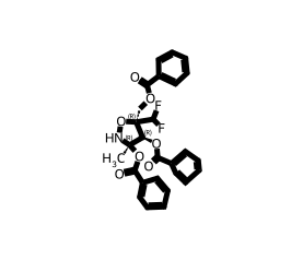 C[C@]1(OC(=O)c2ccccc2)NO[C@@](COC(=O)c2ccccc2)(C(F)F)[C@H]1OC(=O)c1ccccc1